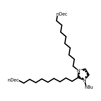 CCCCCCCCCCCCCCCCCCCc1n(CCCC)cc[n+]1CCCCCCCCCCCCCCCCCCC